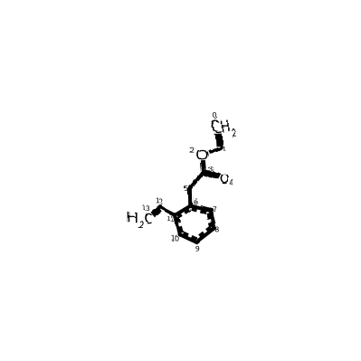 C=COC(=O)Cc1ccccc1C=C